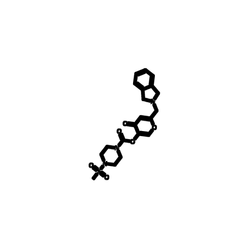 CS(=O)(=O)N1CCN(C(=O)Oc2coc(CN3Cc4ccccc4C3)cc2=O)CC1